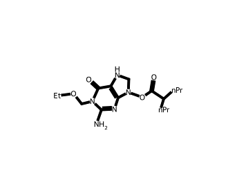 CCCC(CCC)C(=O)ON1CNc2c1nc(N)n(COCC)c2=O